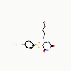 Cc1ccc(S(=O)(=O)[C@H]2C(=O)NC(=O)C[C@@H]2CCCCCO)cc1